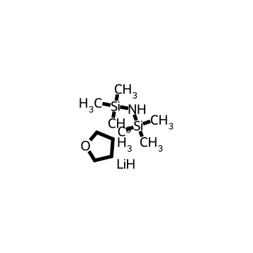 C1CCOC1.C[Si](C)(C)N[Si](C)(C)C.[LiH]